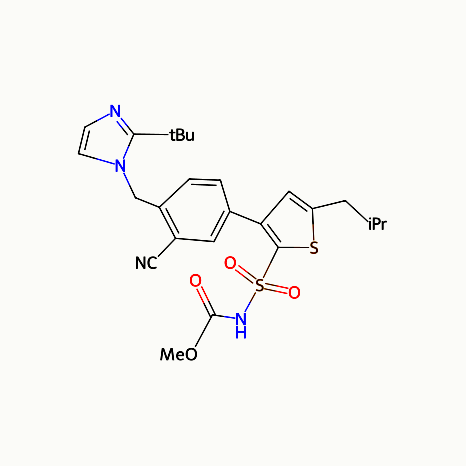 COC(=O)NS(=O)(=O)c1sc(CC(C)C)cc1-c1ccc(Cn2ccnc2C(C)(C)C)c(C#N)c1